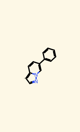 [c]1cnn2cc(-c3ccccc3)ccc12